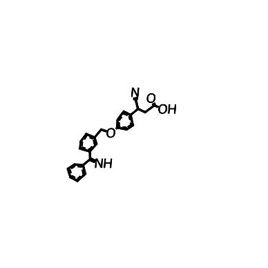 N#CC(CC(=O)O)c1ccc(OCc2cccc(C(=N)c3ccccc3)c2)cc1